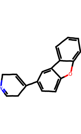 C1=NCC=C(c2ccc3oc4ccccc4c3c2)C1